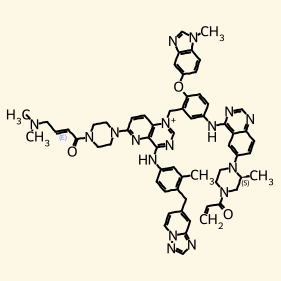 C=CC(=O)N1CCN(c2ccc3ncnc(Nc4ccc(Oc5ccc6c(c5)ncn6C)c(C[n+]5cnc(Nc6ccc(Cc7ccn8ncnc8c7)c(C)c6)c6nc(N7CCN(C(=O)/C=C/CN(C)C)CC7)ccc65)c4)c3c2)[C@@H](C)C1